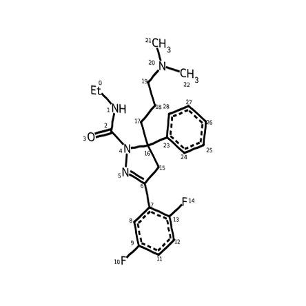 CCNC(=O)N1N=C(c2cc(F)ccc2F)CC1(CCCN(C)C)c1ccccc1